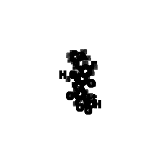 CC[C@@]1(O)C(=O)OCc2c1cc1n(c2=O)Cc2c-1c(=O)c1cc(F)cc(CN(CC(C)C)C3CC3)c1n2C